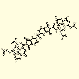 CC(=O)OC[C@H]1O[C@@H](OC(C)=O)[C@H](NC(=O)C2C(=O)c3ccc(S(=O)(=O)c4ccc5c(c4)C(=O)C(C(=O)N[C@H]4[C@H](OC(C)=O)O[C@H](COC(C)=O)[C@@H](OC(C)=O)[C@@H]4OC(C)=O)C5=O)cc3C2=O)[C@@H](OC(C)=O)[C@@H]1OC(C)=O